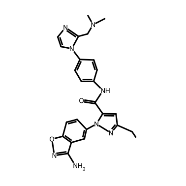 CCc1cc(C(=O)Nc2ccc(-n3ccnc3CN(C)C)cc2)n(-c2ccc3onc(N)c3c2)n1